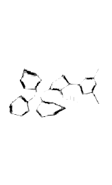 Cc1cc(C)cc(C2=CC[C]([Pt]([c]3ccccc3)([c]3ccccc3)[c]3ccccc3)=C2[SiH3])c1